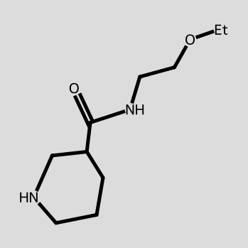 CCOCCNC(=O)C1CCCNC1